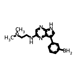 Bc1cccc(-c2c[nH]c3ncc(NCCN(C)C)nc23)c1